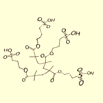 CC(C)(CC(C)(CC(C)(CC(C)(C)C(=O)OCCCS(=O)(=O)O)C(=O)OCCCS(=O)(=O)O)C(=O)OCCCS(=O)(=O)O)C(=O)OCCCS(=O)(=O)O